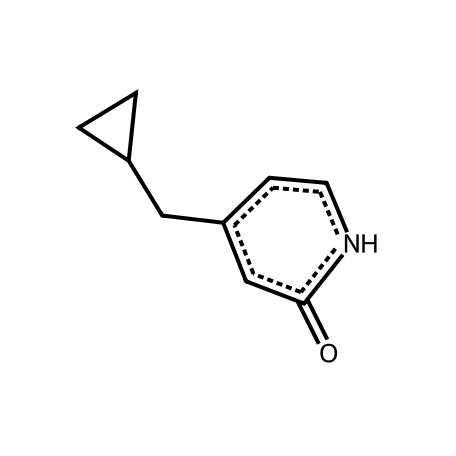 O=c1cc(CC2CC2)cc[nH]1